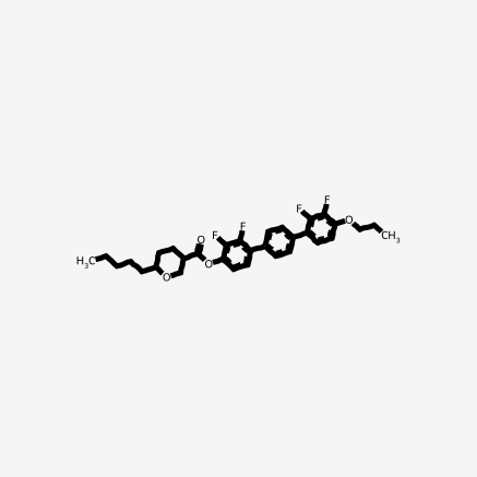 CCCCCC1CCC(C(=O)Oc2ccc(-c3ccc(-c4ccc(OCCC)c(F)c4F)cc3)c(F)c2F)CO1